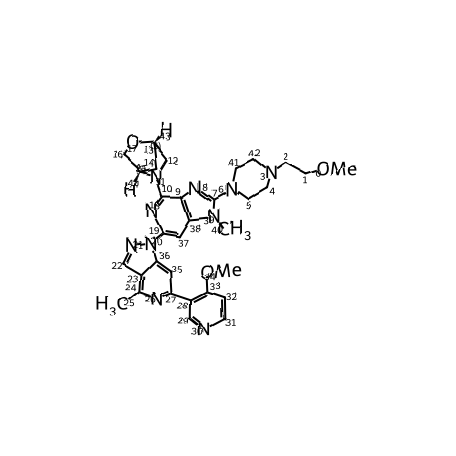 COCCN1CCN(c2nc3c(N4C[C@@H]5C[C@H]4CO5)nc(-n4ncc5c(C)nc(-c6cnccc6OC)cc54)cc3n2C)CC1